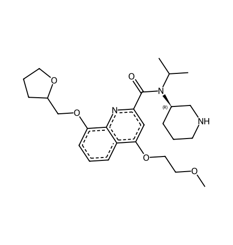 COCCOc1cc(C(=O)N(C(C)C)[C@@H]2CCCNC2)nc2c(OCC3CCCO3)cccc12